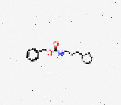 O=C([N]CCCC1CCCC1)OCc1ccccc1